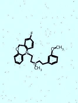 COc1cccc(CCN(C)CCN2c3ccc(F)cc3COc3ccccc32)c1